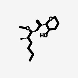 C=C(C[C@@H](OC)[C@@H](C)CCCC)[C@@H]1OCCC[C@H]1O